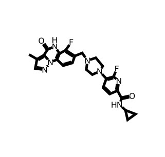 Cc1cnn2c1c(=O)[nH]c1c(F)c(CN3CCN(c4ccc(C(=O)NC5CC5)nc4F)CC3)ccc12